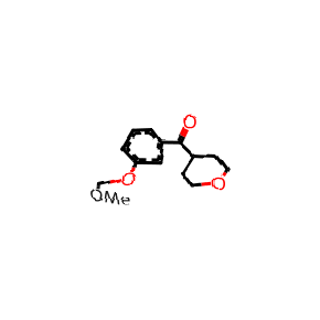 COCOc1cccc(C(=O)C2CCOCC2)c1